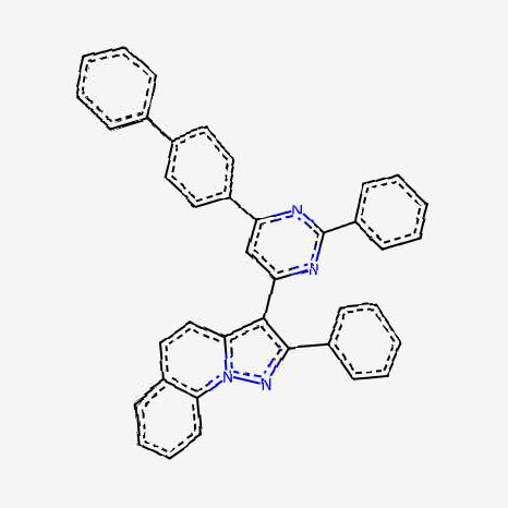 c1ccc(-c2ccc(-c3cc(-c4c(-c5ccccc5)nn5c4ccc4ccccc45)nc(-c4ccccc4)n3)cc2)cc1